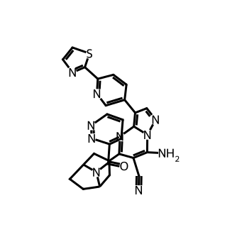 N#Cc1c(C2CC3CCC(C2)N3C(=O)c2cccnn2)nc2c(-c3ccc(-c4nccs4)nc3)cnn2c1N